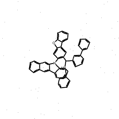 c1ccc(CNC(c2cccc(-c3ccccc3)c2)c2cc3c(cc2-n2c4ccccc4c4cc5ccccc5cc42)oc2ccccc23)cc1